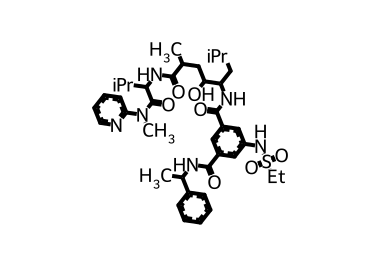 CCS(=O)(=O)Nc1cc(C(=O)NC(C)c2ccccc2)cc(C(=O)NC(CC(C)C)C(O)CC(C)C(=O)NC(C(=O)N(C)c2ccccn2)C(C)C)c1